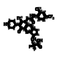 CCc1c(N2CCNCC2)c(=O)c2nc3c(nc2n1CC(=O)Nc1ccc(C(F)(F)F)cc1Cl)CCN3C.O=C(O)C(F)(F)F